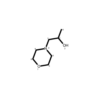 [CH2]C(O)CN1CCOCC1